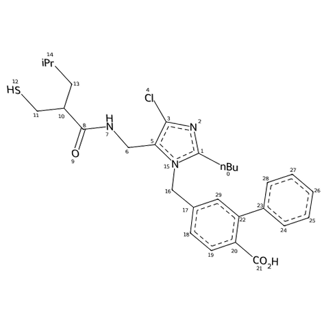 CCCCc1nc(Cl)c(CNC(=O)C(CS)CC(C)C)n1Cc1ccc(C(=O)O)c(-c2ccccc2)c1